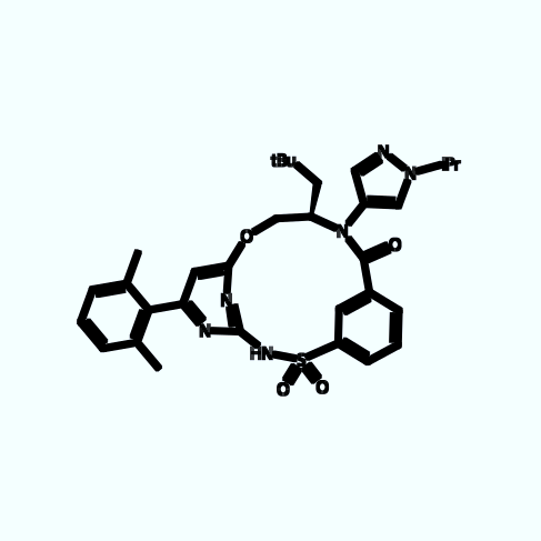 Cc1cccc(C)c1-c1cc2nc(n1)NS(=O)(=O)c1cccc(c1)C(=O)N(c1cnn(C(C)C)c1)[C@H](CC(C)(C)C)CO2